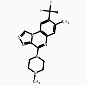 Cc1cc2nc(N3CCN(C)CC3)c3nncn3c2cc1C(F)(F)F